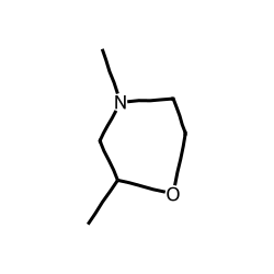 CC1CN(C)CCO1